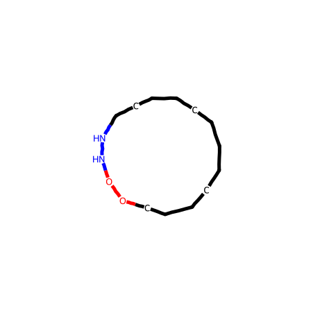 C1CCCCCCOONNCCCCC1